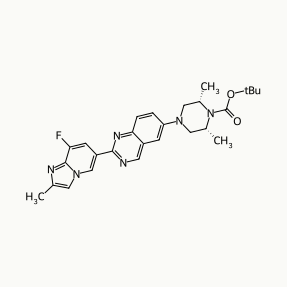 Cc1cn2cc(-c3ncc4cc(N5C[C@@H](C)N(C(=O)OC(C)(C)C)[C@@H](C)C5)ccc4n3)cc(F)c2n1